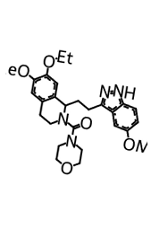 CCOc1cc2c(cc1OC)CCN(C(=O)N1CCOCC1)C2CCc1n[nH]c2ccc(OC)cc12